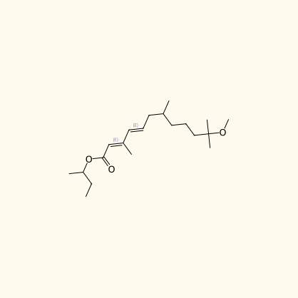 CCC(C)OC(=O)/C=C(C)/C=C/CC(C)CCCC(C)(C)OC